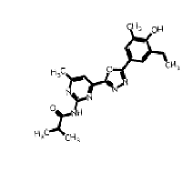 CCc1cc(-c2nnc(-c3cc(C)nc(NC(=O)C(C)C)n3)o2)cc(C)c1O